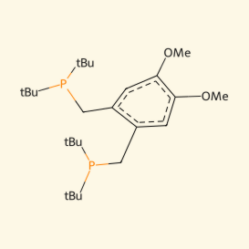 COc1cc(CP(C(C)(C)C)C(C)(C)C)c(CP(C(C)(C)C)C(C)(C)C)cc1OC